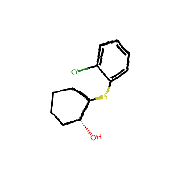 O[C@@H]1CCCC[C@H]1Sc1ccccc1Cl